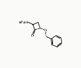 CCCCCC1CN(OCc2ccccc2)C1=O